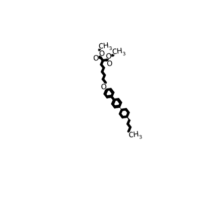 CCCCC[C@H]1CC[C@H](c2ccc(-c3ccc(OCCCCCCC(C(=O)OCC)C(=O)OCC)cc3)cc2)CC1